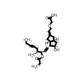 CCC#CC[C@H](C)[C@@H](C#C[C@@H]1[C@H]2C/C(=C/COCC(=O)O)C[C@H]2C[C@H]1O)OC(=O)CC